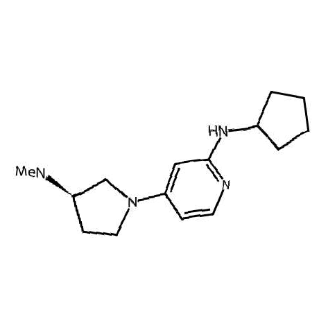 CN[C@@H]1CCN(c2ccnc(NC3CCCC3)c2)C1